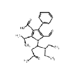 CCN(CC)C(CC(N)=O)n1c(C=O)c(-c2ccccc2)c(C(=O)O)c1C(C)C